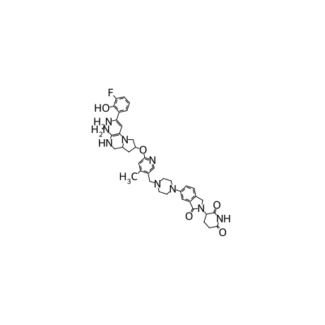 Cc1cc(OC2CC3CNC(N)=C(/C=C(\N)c4cccc(F)c4O)N3C2)ncc1CN1CCN(c2ccc3c(c2)C(=O)N(C2CCC(=O)NC2=O)C3)CC1